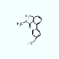 COC(=O)c1c(N)cccc1-c1ccc(CO)cc1